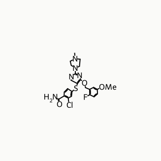 COc1ccc(F)c(COc2nc(N3CCN(C)CC3)ncc2Sc2ccc(C(N)=O)c(Cl)c2)c1